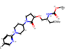 COC[C@@H](COC1CCN(C2CCN(c3ccc(C#N)cn3)CC2)C1=O)NC(=O)OC(C)(C)C